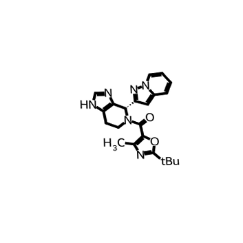 Cc1nc(C(C)(C)C)oc1C(=O)N1CCc2[nH]cnc2[C@@H]1c1cc2ccccn2n1